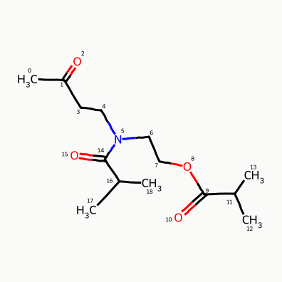 CC(=O)CCN(CCOC(=O)C(C)C)C(=O)C(C)C